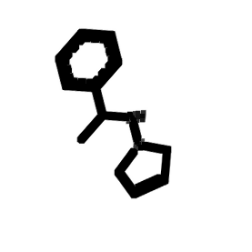 CC(NN1CC=CC1)c1ccccc1